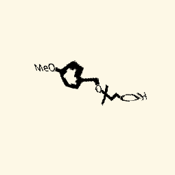 COc1ccc(COC(C)(C)CCO)cc1